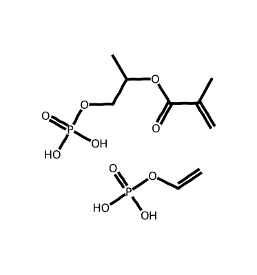 C=C(C)C(=O)OC(C)COP(=O)(O)O.C=COP(=O)(O)O